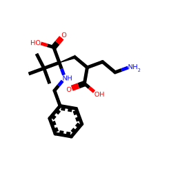 CC(C)(C)[C@@](CC(CCN)C(=O)O)(NCc1ccccc1)C(=O)O